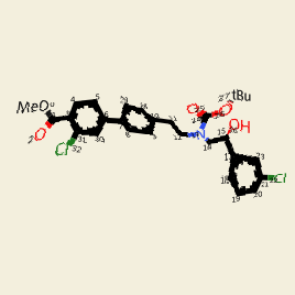 COC(=O)c1ccc(-c2ccc(CCN(C[C@H](O)c3cccc(Cl)c3)C(=O)OC(C)(C)C)cc2)cc1Cl